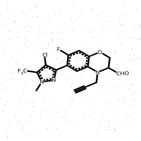 C#CCN1c2cc(-c3nn(C)c(C(F)(F)F)c3Cl)c(F)cc2OCC1C=O